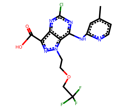 Cc1ccnc(Nc2nc(Cl)nc3c(C(=O)O)nn(CCOCC(F)(F)F)c23)c1